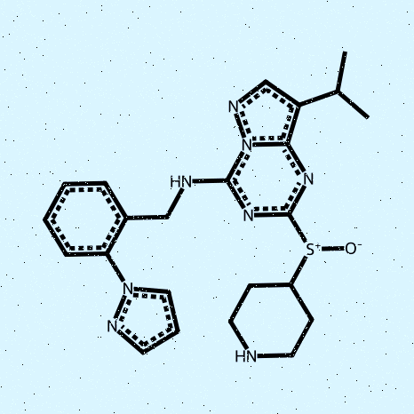 CC(C)c1cnn2c(NCc3ccccc3-n3cccn3)nc([S+]([O-])C3CCNCC3)nc12